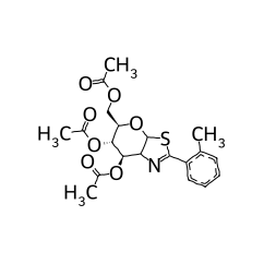 CC(=O)OC[C@H]1OC2SC(c3ccccc3C)=NC2[C@@H](OC(C)=O)[C@@H]1OC(C)=O